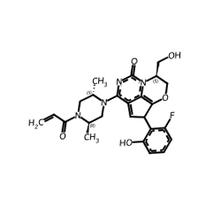 C=CC(=O)N1C[C@H](C)N(c2nc(=O)n3c4c2=CC(c2c(O)cccc2F)C=4OC[C@@H]3CO)C[C@H]1C